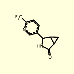 O=C1NC(c2ccc(C(F)(F)F)nc2)C2CC12